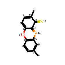 Cc1ccc2oc3ccc(C)c(=S)c-3pc2c1